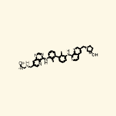 Cc1c(Nc2nccc3cc(CN4CC[C@@H](O)C4)cnc23)cccc1-c1cccc(Nc2ncnc3cc(CNC[C@H](C)O)cnc23)c1C